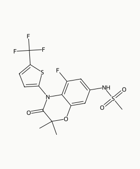 CC1(C)Oc2cc(NS(C)(=O)=O)cc(F)c2N(c2ccc(C(F)(F)F)s2)C1=O